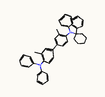 Cc1cc(-c2ccc(N(c3ccccc3)C3(c4ccccc4)CCCCC3)c(C)c2)ccc1N(c1ccccc1)c1ccccc1